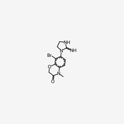 CN1C(=O)COc2c1ccc(N1CCNC1=N)c2Br